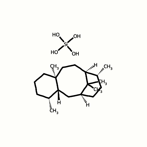 C[C@@H]1CCC[C@@]2(C)CC[C@H]3[C@H](C)CC[C@@H](C[C@H]12)C3(C)C.O[Si](O)(O)O